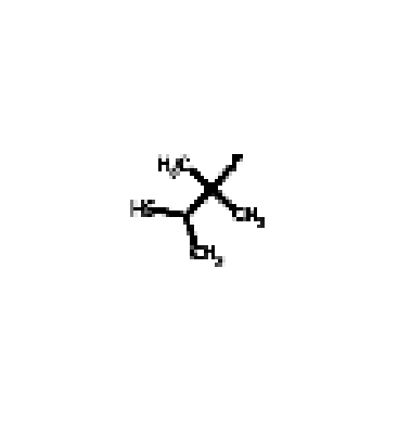 CC(S)C(C)(C)F